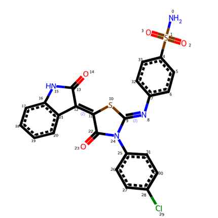 NS(=O)(=O)c1ccc(/N=C2\S/C(=C3\C(=O)Nc4ccccc43)C(=O)N2c2ccc(Cl)cc2)cc1